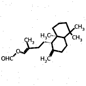 C=C1CCC2C(C)(C)CCC[C@]2(C)[C@H]1CC/C(C)=C/OC=O